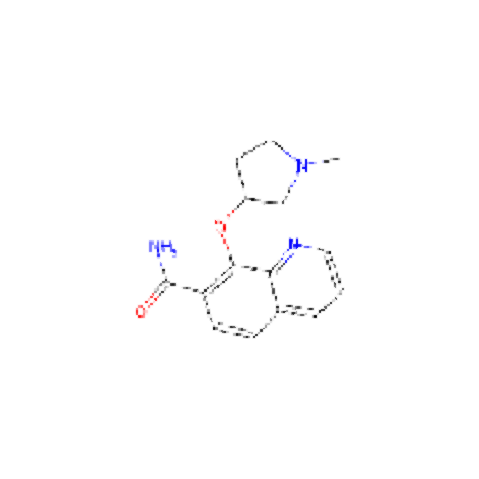 CN1CCC(Oc2c(C(N)=O)ccc3cccnc23)C1